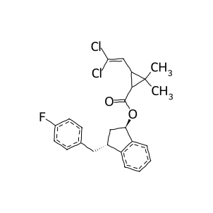 CC1(C)C(C=C(Cl)Cl)C1C(=O)O[C@@H]1C[C@@H](Cc2ccc(F)cc2)c2ccccc21